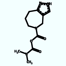 CN(C)C(=O)OC(=O)N1CCCc2n[nH]cc2C1